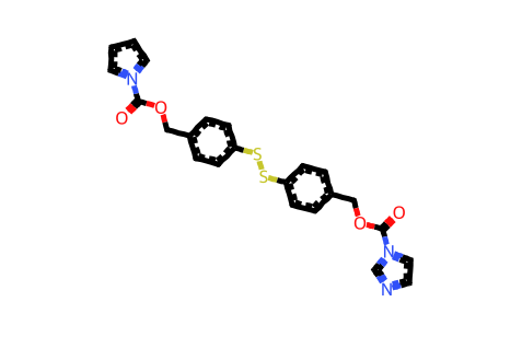 O=C(OCc1ccc(SSc2ccc(COC(=O)n3ccnc3)cc2)cc1)n1cccc1